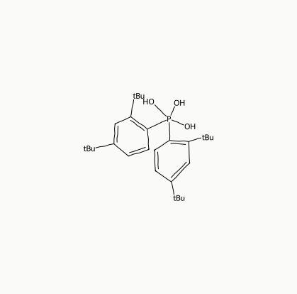 CC(C)(C)c1ccc(P(O)(O)(O)c2ccc(C(C)(C)C)cc2C(C)(C)C)c(C(C)(C)C)c1